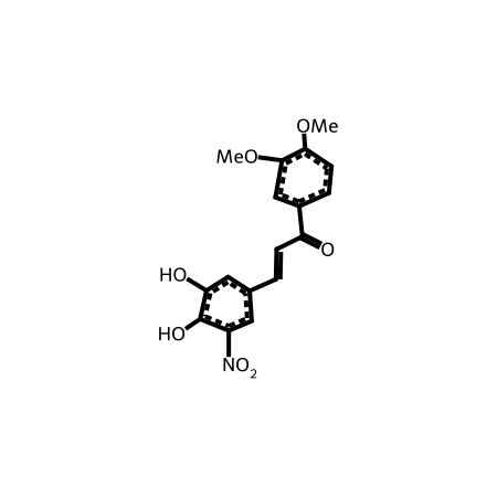 COc1ccc(C(=O)C=Cc2cc(O)c(O)c([N+](=O)[O-])c2)cc1OC